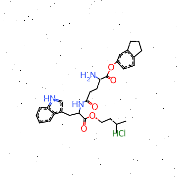 CC(C)CCOC(=O)C(Cc1c[nH]c2ccccc12)NC(=O)CCC(N)C(=O)Oc1ccc2c(c1)CCC2.Cl